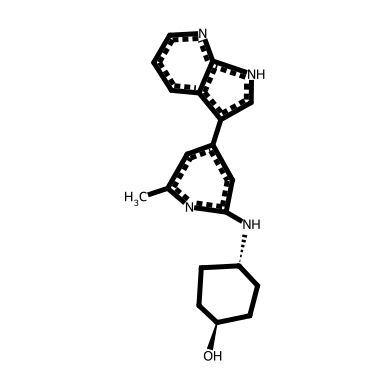 Cc1cc(-c2c[nH]c3ncccc23)cc(N[C@H]2CC[C@H](O)CC2)n1